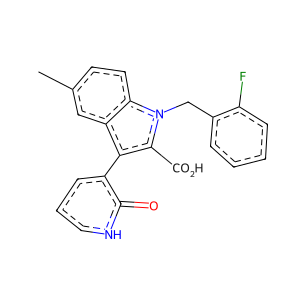 Cc1ccc2c(c1)c(-c1ccc[nH]c1=O)c(C(=O)O)n2Cc1ccccc1F